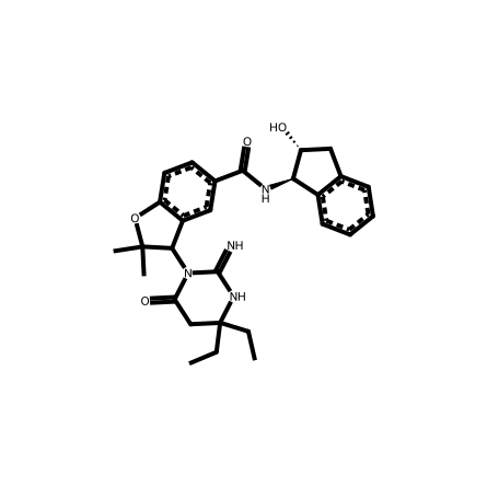 CCC1(CC)CC(=O)N(C2c3cc(C(=O)N[C@@H]4c5ccccc5C[C@H]4O)ccc3OC2(C)C)C(=N)N1